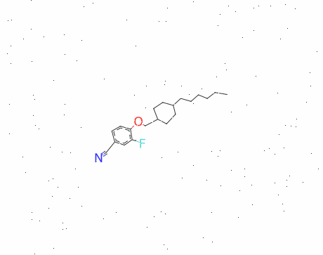 CCCCCCC1CCC(COc2ccc(C#N)cc2F)CC1